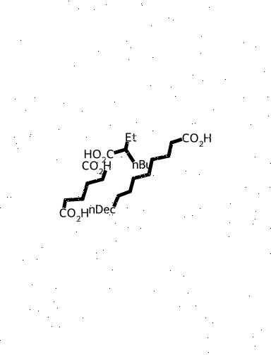 CCCCC(CC)C(=O)O.CCCCCCCCCCCCCCCCCC(=O)O.O=C(O)CCCCC(=O)O